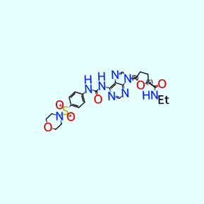 CCNC(=O)[C@@H]1CC[C@H](n2cnc3c(NC(=O)Nc4ccc(S(=O)(=O)N5CCOCC5)cc4)ncnc32)O1